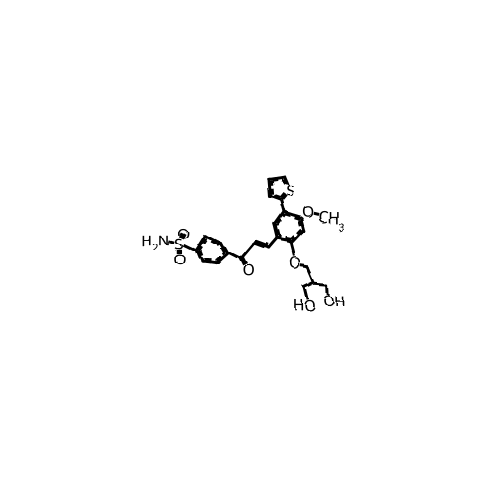 COc1cc(OCC(CO)CO)c(C=CC(=O)c2ccc(S(N)(=O)=O)cc2)cc1-c1cccs1